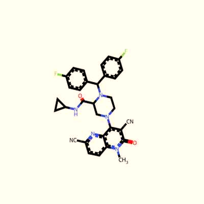 Cn1c(=O)c(C#N)c(N2CCN(C(c3ccc(F)cc3)c3ccc(F)cc3)C(C(=O)NC3CC3)C2)c2nc(C#N)ccc21